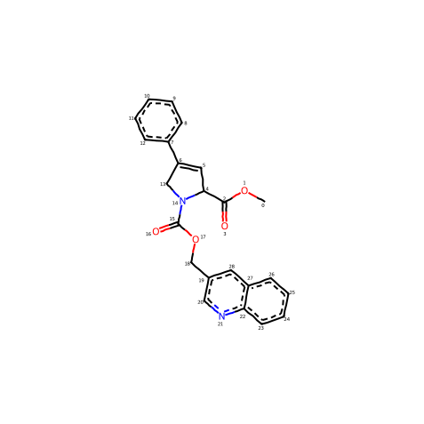 COC(=O)C1C=C(c2ccccc2)CN1C(=O)OCc1cnc2ccccc2c1